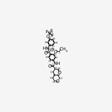 CCOc1cc(NC(=O)C(C=O)CC2CCOCC2)ccc1S(=O)(=O)Nc1cccc(OC(F)(F)F)c1